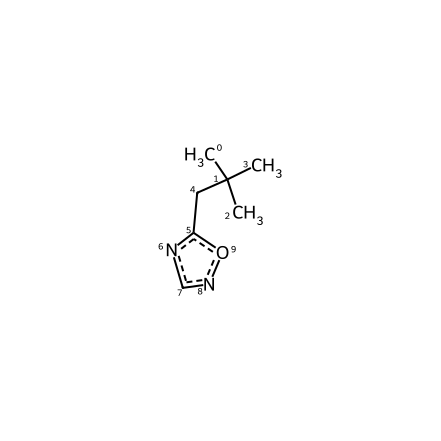 CC(C)(C)Cc1ncno1